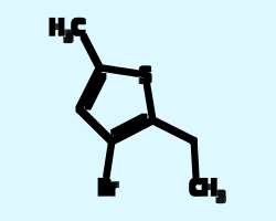 CCc1sc(C)cc1Br